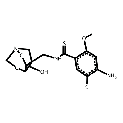 COc1cc(N)c(Cl)cc1C(=S)NCC1(O)CN2CCC1CC2